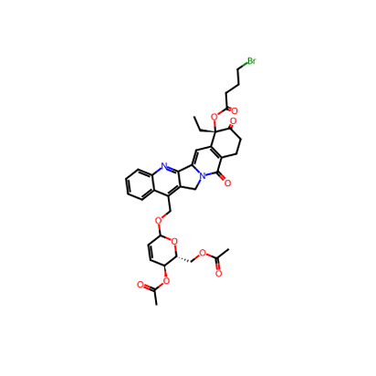 CC[C@@]1(OC(=O)CCCBr)C(=O)CCc2c1cc1n(c2=O)Cc2c-1nc1ccccc1c2COC1C=C[C@H](OC(C)=O)[C@@H](COC(C)=O)O1